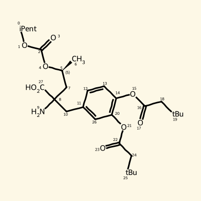 CCCC(C)OC(=O)O[C@@H](C)CC(N)(Cc1ccc(OC(=O)CC(C)(C)C)c(OC(=O)CC(C)(C)C)c1)C(=O)O